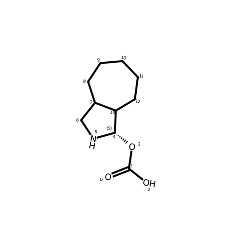 O=C(O)O[C@@H]1NCC2CCCCCC21